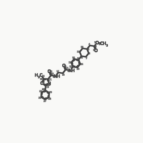 COC(=O)CC1CCC(c2ccc(NC(=O)CCNC(=O)c3nc(-c4ccccc4)oc3C)cc2)CC1